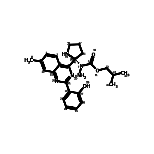 Cc1ccc2c([C@]3(N(N)C(=O)OCC(C)C)CCCN3)nc(-c3ccccc3O)nc2c1